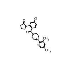 Cc1cnc(N2CCN(C(=O)c3ccc(Cl)cc3N3CCCC3=O)CC2)c(C)c1